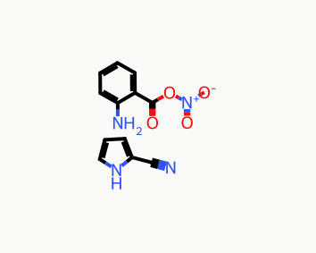 N#Cc1ccc[nH]1.Nc1ccccc1C(=O)O[N+](=O)[O-]